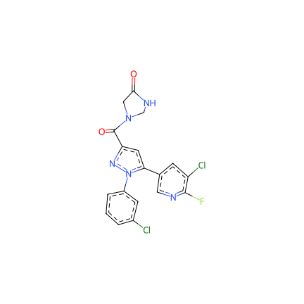 O=C1CN(C(=O)c2cc(-c3cnc(F)c(Cl)c3)n(-c3cccc(Cl)c3)n2)CN1